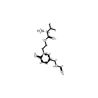 CC(C)[C@@H](N)C(=O)OCCn1cc(COC=O)ccc1=O